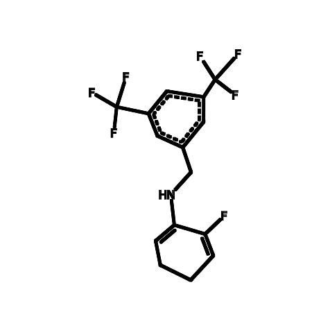 FC1=CCCC=C1NCc1cc(C(F)(F)F)cc(C(F)(F)F)c1